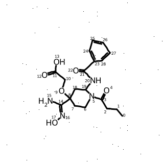 CCCC(=O)N1CCC(OCC(=O)O)(C(N)=NO)CC1NC(=O)c1ccccc1